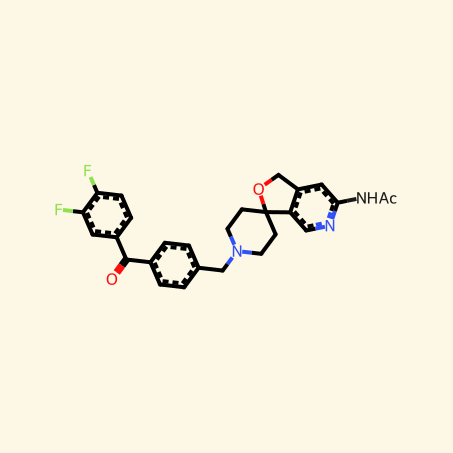 CC(=O)Nc1cc2c(cn1)C1(CCN(Cc3ccc(C(=O)c4ccc(F)c(F)c4)cc3)CC1)OC2